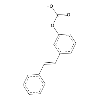 O=C(O)Oc1cccc(C=Cc2ccccc2)c1